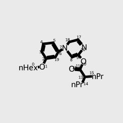 CCCCCCOc1cccc(N2C=C(OC(=O)C(CCC)CCC)N=CC2)c1